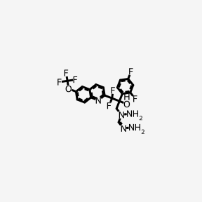 N/N=C\N(N)CC(O)(c1ccc(F)cc1F)C(F)(F)c1ccc2cc(OC(F)(F)F)ccc2n1